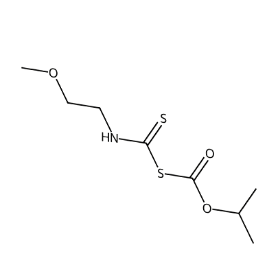 COCCNC(=S)SC(=O)OC(C)C